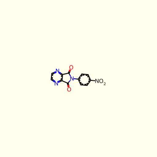 O=C1c2nccnc2C(=O)N1c1ccc([N+](=O)[O-])cc1